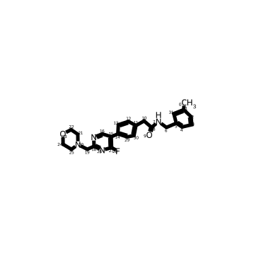 Cc1cccc(CNC(=O)Cc2ccc(-c3cnc(CN4CCOCC4)nc3F)cc2)c1